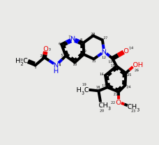 C=CC(=O)Nc1cnc2c(c1)CN(C(=O)c1cc(C(C)C)c(OC)cc1O)CC2